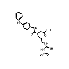 N=C(NCCC[C@H](NC(=O)O)C(=O)Nc1ccc(Nc2ccccc2)cc1)N[N+](=O)[O-]